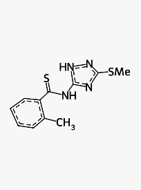 CSc1n[nH]c(NC(=S)c2ccccc2C)n1